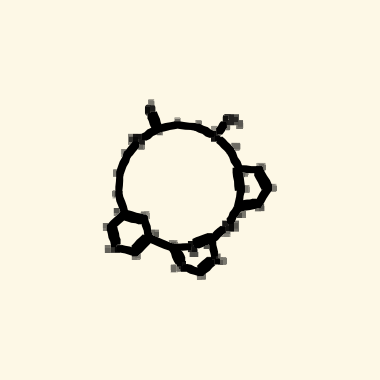 CN1CCC(=O)NCCCc2cncc(c2)-c2ncnc(n2)Nc2cccc(c2)C1